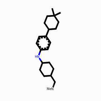 CNCC1CCC(Nc2ccc(C3CCC(C)(C)CC3)cc2)CC1